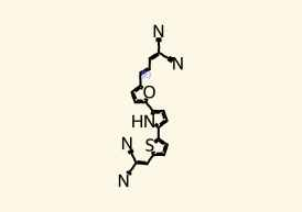 N#CC(C#N)=C/C=C/c1ccc(-c2ccc(-c3ccc(C=C(C#N)C#N)s3)[nH]2)o1